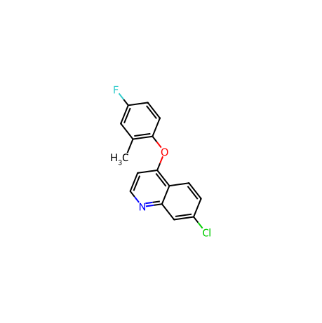 Cc1cc(F)ccc1Oc1ccnc2cc(Cl)ccc12